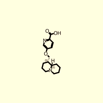 O=C(O)c1ccc(OC[C@H]2CCCN3CCCC[C@@H]23)cn1